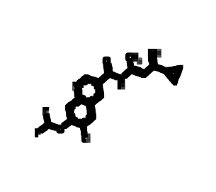 C/C(=C\C(=N)C1CC1)NC(=O)c1cnc2cc(OC(F)F)c(Cl)cc2c1